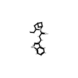 CCC1CC2CC(C2)N1C(=O)CCc1c[nH]c2ccccc12